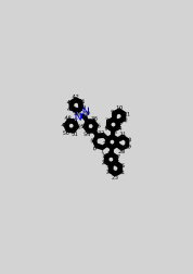 C1=Cc2c(c(-c3ccc4ccccc4c3)c3c(c2-c2ccc4ccccc4c2)=CCCC=3)C=C(c2ccc(-c3nc4ccccc4n3-c3ccccc3)cc2)C1